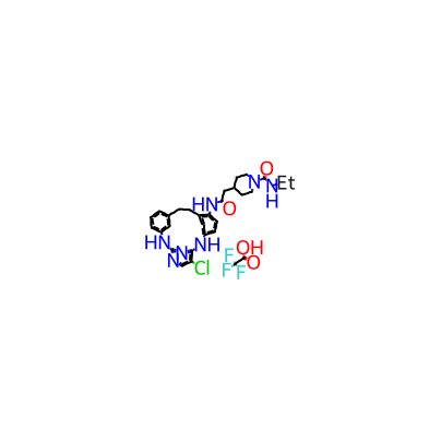 CCNC(=O)N1CCC(CC(=O)Nc2ccc3cc2CCc2cccc(c2)Nc2ncc(Cl)c(n2)N3)CC1.O=C(O)C(F)(F)F